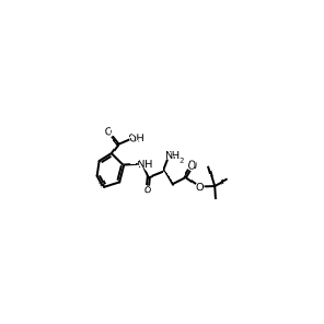 CC(C)(C)OC(=O)CC(N)C(=O)Nc1ccccc1C(=O)O